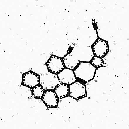 N#Cc1ccc2oc3c(c2c1)C=C(c1c(C#N)cccc1-n1c2c(c4ccc5sc6ccccc6c5c41)C=CCC2)C#CC3